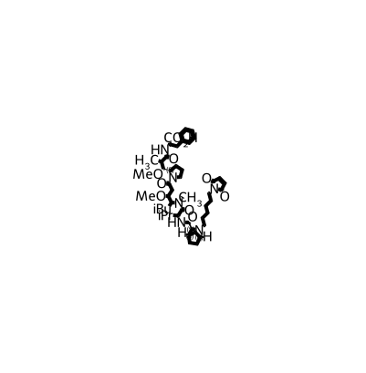 CCC(C)C(C(CC(=O)N1CCC[C@H]1C(OC)C(C)C(=O)NC(Cc1ccccc1)C(=O)O)OC)N(C)C(=O)C(NC(=O)[C@@H]1[C@H]2CC[C@H](C2)N1CCCCCCN1C(=O)C=CC1=O)C(C)C